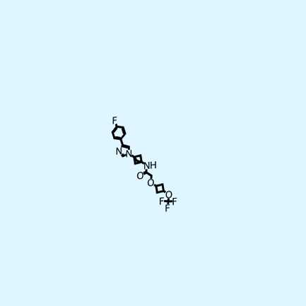 O=C(COC1CC(OC(F)(F)F)C1)NC12CC(n3cnc(-c4ccc(F)cc4)c3)(C1)C2